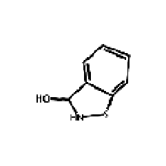 OC1NSc2ccccc21